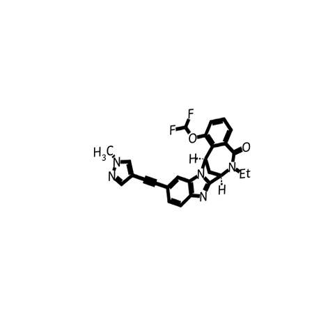 CCN1C(=O)c2cccc(OC(F)F)c2[C@H]2C[C@@H]1c1nc3ccc(C#Cc4cnn(C)c4)cc3n12